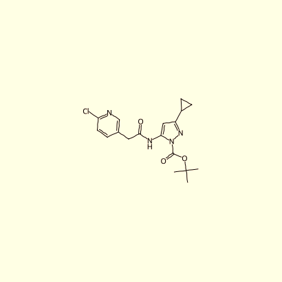 CC(C)(C)OC(=O)n1nc(C2CC2)cc1NC(=O)Cc1ccc(Cl)nc1